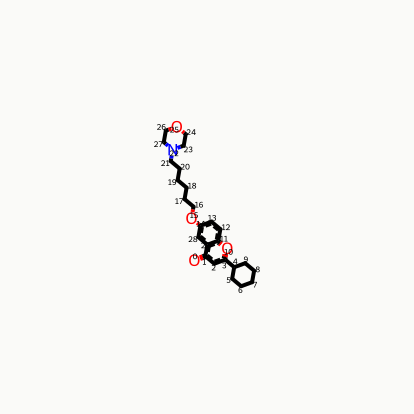 O=c1cc(C2CCCCC2)oc2ccc(OCCCCCCN3CCOCC3)cc12